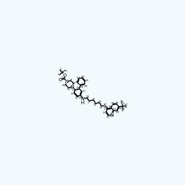 CC(C)(C)OC(=O)N1CCN(c2ccc(NCCCCCCSc3ccnc4cc(C(F)(F)F)ccc34)cc2-c2ccccc2)CC1